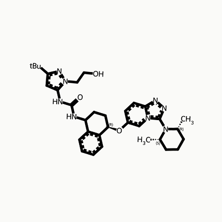 C[C@@H]1CCC[C@H](C)N1c1nnc2ccc(O[C@@H]3CCC(NC(=O)Nc4cc(C(C)(C)C)nn4CCO)c4ccccc43)cn12